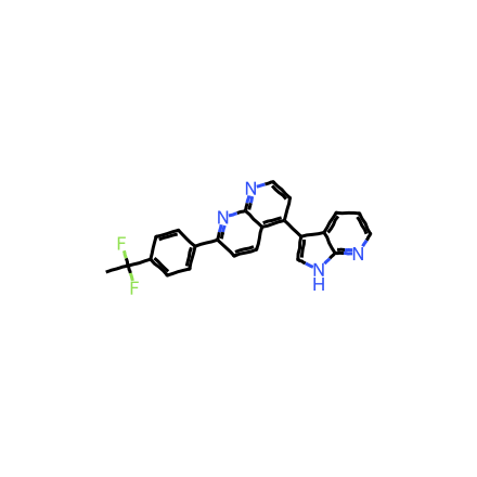 CC(F)(F)c1ccc(-c2ccc3c(-c4c[nH]c5ncccc45)ccnc3n2)cc1